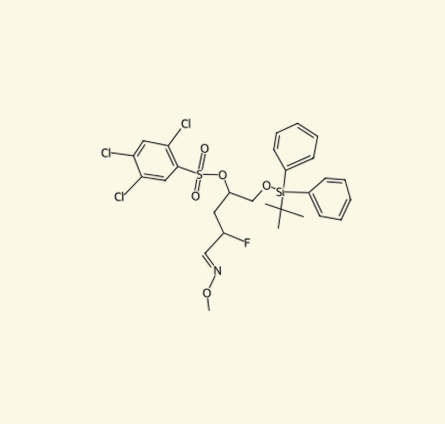 CON=CC(F)CC(CO[Si](c1ccccc1)(c1ccccc1)C(C)(C)C)OS(=O)(=O)c1cc(Cl)c(Cl)cc1Cl